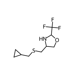 FC(F)(F)C1NC(CSCC2CC2)CO1